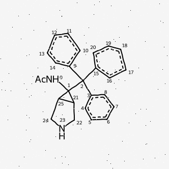 CC(=O)NC1(C(c2ccccc2)(c2ccccc2)c2ccccc2)C2CNCC21